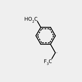 O=C(O)c1ccc([CH]C(F)(F)F)cc1